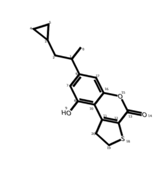 CC(CC1CC1)c1cc(O)c2c3c(c(=O)oc2c1)SCC3